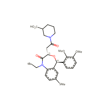 COc1cccc([C@@H]2O[C@@H](CC(=O)N3CCCC(C(=O)O)C3)C(=O)N(CC(C)(C)C)c3ccc(SC)cc32)c1OC